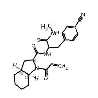 C=CC(=O)N1[C@H](C(=O)NC(Cc2ccc(C#N)cc2)C(=O)NC)C[C@@H]2CCCC[C@@H]21